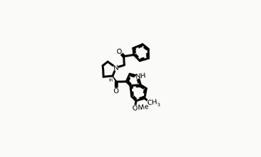 COc1cc2c(C(=O)[C@H]3CCCN3CC(=O)c3ccccc3)c[nH]c2cc1C